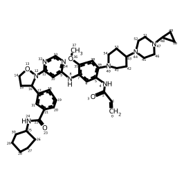 C=CC(=O)Nc1cc(Nc2cc(N3OCCC3c3cccc(C(=O)NC4CCCCC4)c3)ncn2)c(OC)cc1N1CCC(N2CCN(C3CC3)CC2)CC1